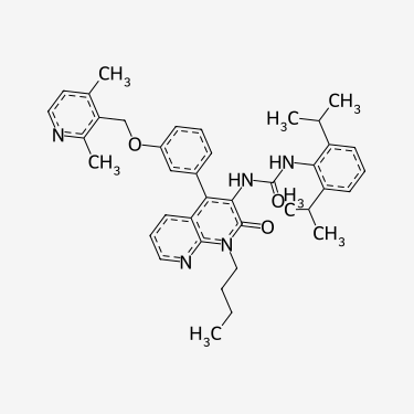 CCCCn1c(=O)c(NC(=O)Nc2c(C(C)C)cccc2C(C)C)c(-c2cccc(OCc3c(C)ccnc3C)c2)c2cccnc21